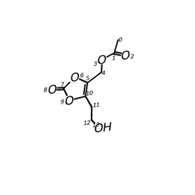 CC(=O)OCc1oc(=O)oc1CCO